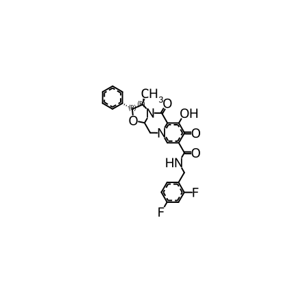 C[C@@H]1[C@@H](c2ccccc2)OC2Cn3cc(C(=O)NCc4ccc(F)cc4F)c(=O)c(O)c3C(=O)N21